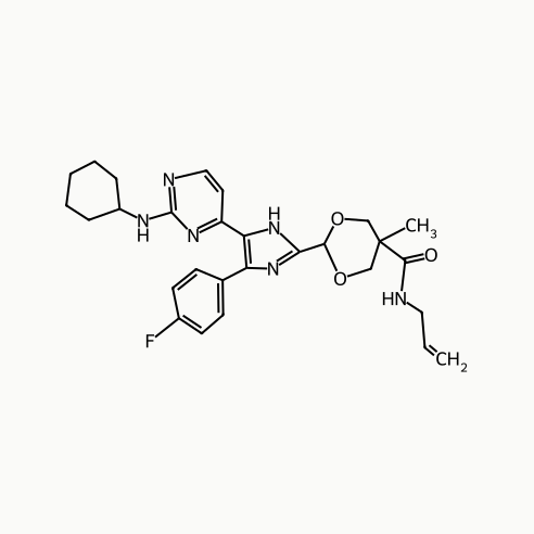 C=CCNC(=O)C1(C)COC(c2nc(-c3ccc(F)cc3)c(-c3ccnc(NC4CCCCC4)n3)[nH]2)OC1